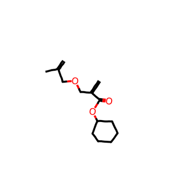 C=C(C)COCC(=C)C(=O)OC1CCCCC1